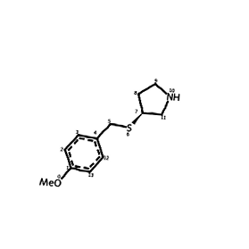 COc1ccc(CS[C@H]2CCNC2)cc1